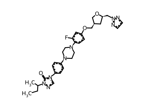 CCC(C)n1ncn(-c2ccc(N3CCN(c4ccc(OC[C@H]5CO[C@@H](Cn6nccn6)C5)cc4F)CC3)cc2)c1=O